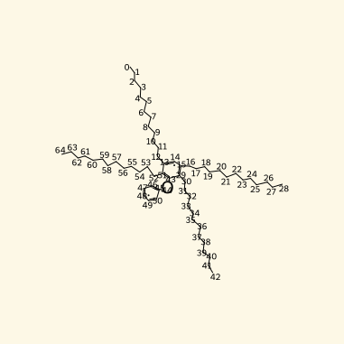 CCCCCCCCCCCCCc1[c]c(CCCCCCCCCCCCC)c(CCCCCCCCCCCCC)c(Oc2cc[c]cc2)c1CCCCCCCCCCCCC